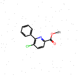 CC(C)OC(=O)c1ccc(Cl)c(-c2ccccc2)n1